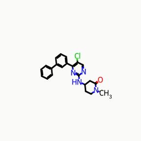 CN1CCC(Nc2ncc(Cl)c(-c3cccc(-c4ccccc4)c3)n2)CC1=O